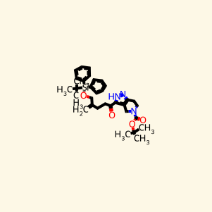 C=C(CCC(=O)c1[nH]nc2c1CN(C(=O)OC(C)(C)C)CC2)CO[Si](c1ccccc1)(c1ccccc1)C(C)(C)C